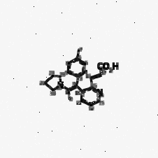 CC(=C(c1ccc(C)cc1)c1cccnc1C=CC(=O)O)N1CCCC1